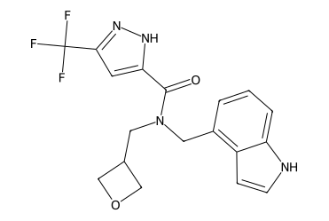 O=C(c1cc(C(F)(F)F)n[nH]1)N(Cc1cccc2[nH]ccc12)CC1COC1